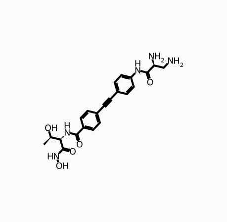 C[C@@H](O)[C@H](NC(=O)c1ccc(C#Cc2ccc(NC(=O)[C@@H](N)CN)cc2)cc1)C(=O)NO